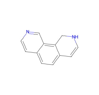 C1=Cc2ccc3ccncc3c2CN1